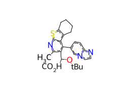 Cc1nc2sc3c(c2c(-c2ccc4nccn4c2)c1C(OC(C)(C)C)C(=O)O)CCCC3